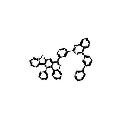 c1ccc(-c2cccc(-c3nc(-c4cccc(-c5nc6ccccc6c6c(-c7ccccc7)c7c(cc56)oc5ccccc57)c4)nc4ccccc34)c2)cc1